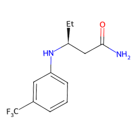 CC[C@@H](CC(N)=O)Nc1cccc(C(F)(F)F)c1